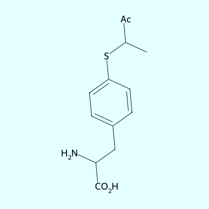 CC(=O)C(C)Sc1ccc(CC(N)C(=O)O)cc1